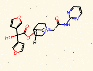 O=C(C[N+]12CCC(CC1)[C@@H](OC(=O)C(O)(c1ccoc1)c1ccoc1)C2)Nc1ncccn1